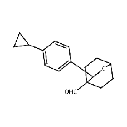 O=CC12CCC(CC1)CC2c1ccc(C2CC2)cc1